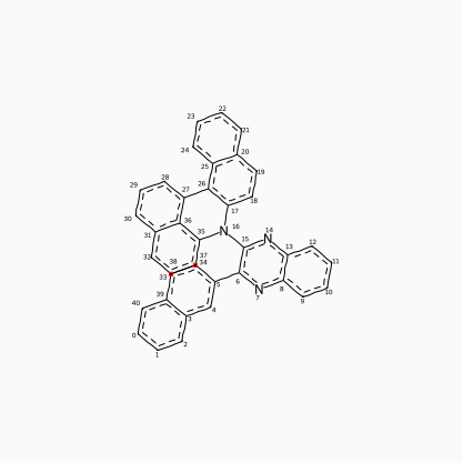 c1ccc2cc(-c3nc4ccccc4nc3N3c4ccc5ccccc5c4-c4cccc5cccc3c45)ccc2c1